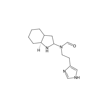 O=CN(CCc1c[nH]cn1)C1CC2CCCC[C@@H]2N1